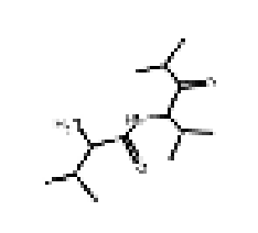 CC(C)C(=O)C(NC(=O)C(N)C(C)C)C(C)C